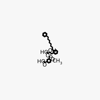 COc1ccc(C(=O)O)cc1CSC(c1ccccc1CCCCCCCCc1ccccc1)C(O)C(=O)O